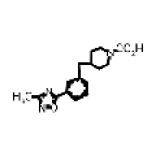 Cc1noc(-c2cccc(CC3CCN(C(=O)O)CC3)c2)n1